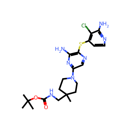 CC1(CNC(=O)OC(C)(C)C)CCN(c2cnc(Sc3ccnc(N)c3Cl)c(N)n2)CC1